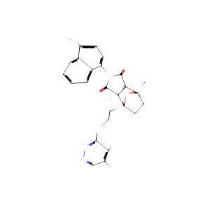 C[C@@]12CC[C@@](CCOc3nncc(Cl)c3Cl)(O1)[C@H]1C(=O)N(c3ccc(C#N)c4ccccc34)C(=O)[C@H]12